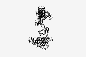 COC(=O)N[C@H](C(=O)N1C(C)CC[C@H]1C(=O)Nc1ccc(CN(Cc2ccc(NC(=O)[C@@H]3CCC(C)N3C(=O)[C@H](N(C)C(=O)O)C(C)(C)C)cc2)c2ccc(F)cc2)cc1)C(C)(C)C